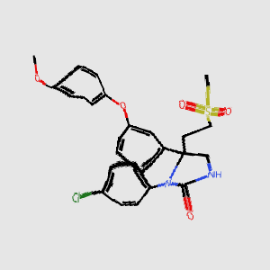 COc1ccc(Oc2cccc(C3(CCS(C)(=O)=O)CNC(=O)N3c3ccc(Cl)cc3)c2)cc1